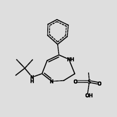 CC(C)(C)NC1=NCCNC(c2ccccc2)=C1.CS(=O)(=O)O